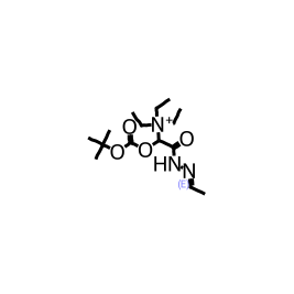 C/C=N/NC(=O)C(OC(=O)OC(C)(C)C)[N+](CC)(CC)CC